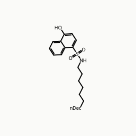 CCCCCCCCCCCCCCCCNS(=O)(=O)c1ccc(O)c2ccccc12